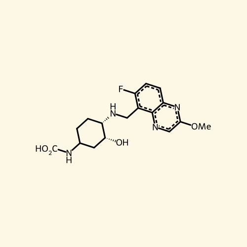 COc1cnc2c(CN[C@H]3CCC(NC(=O)O)C[C@H]3O)c(F)ccc2n1